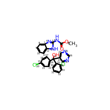 COC(=O)Nc1nc2ccccc2[nH]1.OC(c1ccc(Cl)cc1)(c1cncnc1)c1ccccc1Cl